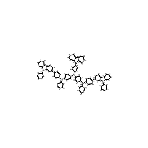 c1ccc(N(c2ccc(-c3ccc4c5ccccc5n(-c5ccccc5)c4c3)cc2)c2ccc(N(c3ccc(N(c4ccccc4)c4ccc(-c5ccc6c7ccccc7n(-c7ccccc7)c6c5)cc4)cc3)c3ccc(-n4c5ccccc5c5ccccc54)cc3)cc2)cc1